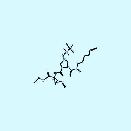 C=CCCCCN(C)C(=O)[C@@H]1C[C@@H](O[Si](C)(C)C(C)(C)C)CN1C(=O)N[C@]1(C(=O)OCC)C[C@@H]1C=C